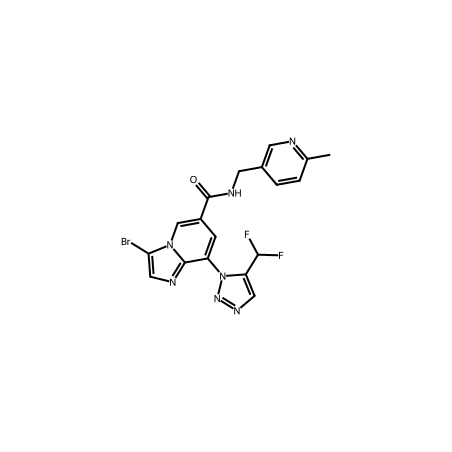 Cc1ccc(CNC(=O)c2cc(-n3nncc3C(F)F)c3ncc(Br)n3c2)cn1